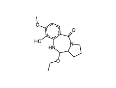 CCOC1Nc2c(ccc(OC)c2O)C(=O)N2CCCC12